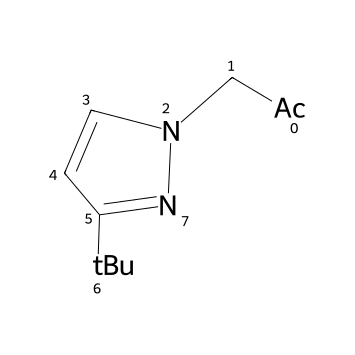 CC(=O)Cn1ccc(C(C)(C)C)n1